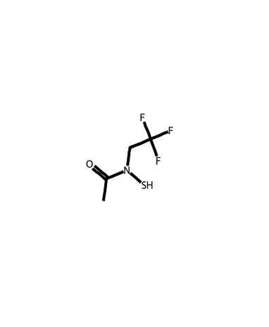 CC(=O)N(S)CC(F)(F)F